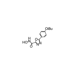 CC(C)COc1ccc(-c2nnc(C(=O)NO)o2)cc1